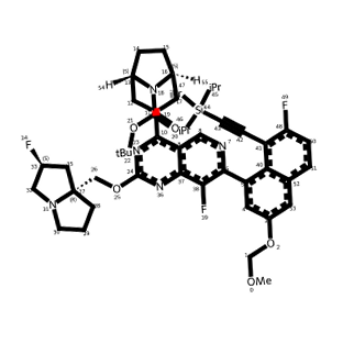 COCOc1cc(-c2ncc3c(N4C[C@@H]5CC[C@@H](C4)N5C(=O)OC(C)(C)C)nc(OC[C@]45CCCN4C[C@@H](F)C5)nc3c2F)c2c(C#C[Si](C(C)C)(C(C)C)C(C)C)c(F)ccc2c1